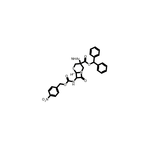 CC(=O)NC1(C(=O)OC(c2ccccc2)c2ccccc2)CS[C@@H]2C(NC(=O)OCc3ccc([N+](=O)[O-])cc3)C(=O)N2C1